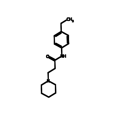 CCc1ccc(NC(=O)CCN2CCCCC2)cc1